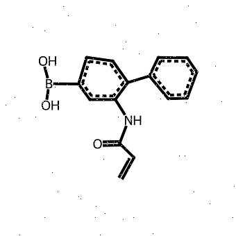 C=CC(=O)Nc1cc(B(O)O)ccc1-c1ccccc1